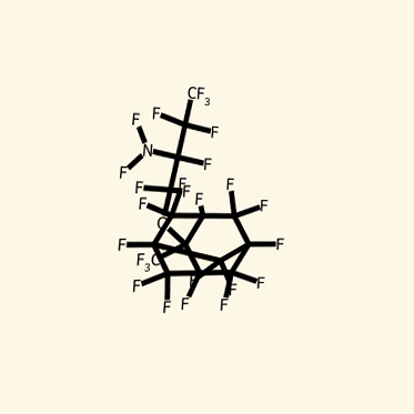 FN(F)C(F)(C(F)(F)OC1(C(F)(F)F)C2(F)C(F)(F)C3(F)C(F)(F)C(F)(C2(F)F)C(F)(F)C1(F)C3(F)F)C(F)(F)C(F)(F)F